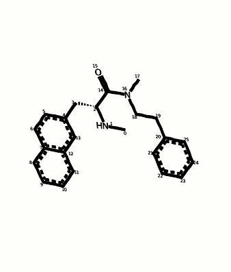 CN[C@H](Cc1ccc2ccccc2c1)C(=O)N(C)CCc1ccccc1